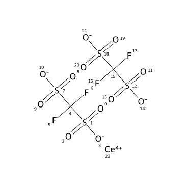 O=S(=O)([O-])C(F)(F)S(=O)(=O)[O-].O=S(=O)([O-])C(F)(F)S(=O)(=O)[O-].[Ce+4]